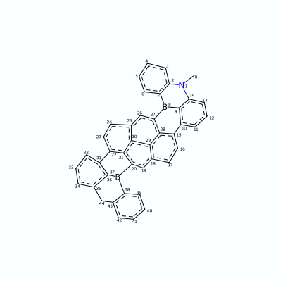 CN1c2ccccc2B2c3c(cccc31)-c1ccc3cc4c5c(ccc6cc2c1c3c65)-c1cccc2c1B4c1ccccc1C2